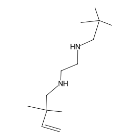 C=CC(C)(C)CNCCNCC(C)(C)C